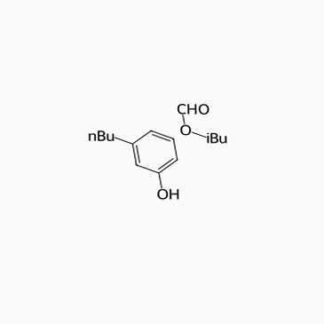 CCC(C)OC=O.CCCCc1cccc(O)c1